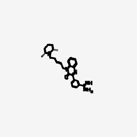 C[C@@H]1CCC[C@H](C)N1CCC=CCn1c(=O)c(-c2cccc(C(=N)N)c2)nc2ccccc21